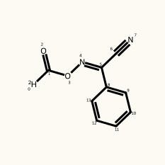 [2H]C(=O)O/N=C(/C#N)c1ccccc1